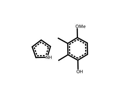 COc1ccc(O)c(C)c1C.c1cc[nH]c1